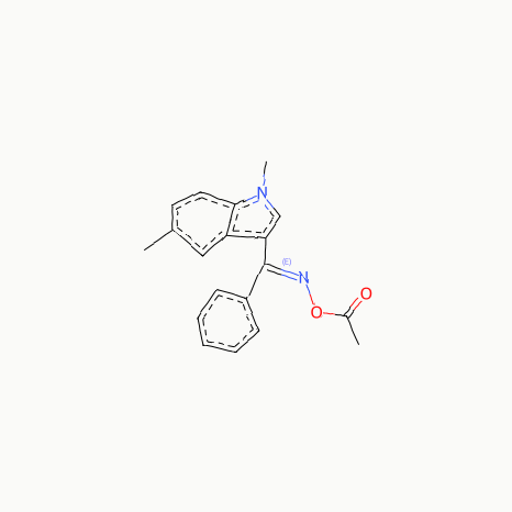 CC(=O)O/N=C(\c1ccccc1)c1cn(C)c2ccc(C)cc12